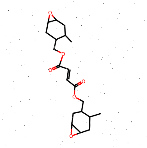 CC1CC2OC2CC1COC(=O)C=CC(=O)OCC1CC2OC2CC1C